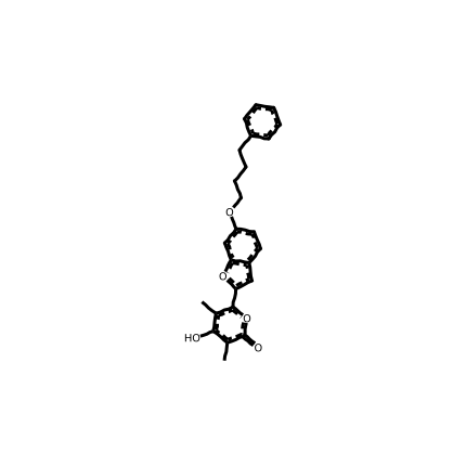 Cc1c(-c2cc3ccc(OCCCCc4ccccc4)cc3o2)oc(=O)c(C)c1O